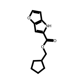 O=C(OCC1CCCC1)c1cc2occc2[nH]1